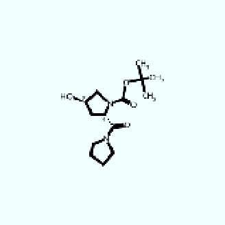 CC(C)(C)OC(=O)N1C[C@H](O)C[C@H]1C(=O)N1CCCC1